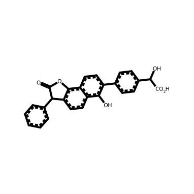 O=C(O)C(O)c1ccc(-c2ccc3c4c(ccc3c2O)C(c2ccccc2)C(=O)O4)cc1